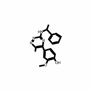 COc1cc(-c2nc(NC(C)c3ccccc3)nnc2C)ccc1O